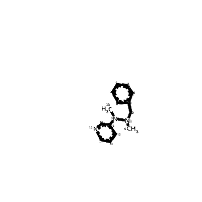 CN(Cc1ccccc1)N(C)c1cccnc1